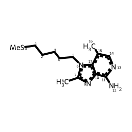 CSCCCCCn1c(C)nc2c(N)ncc(C)c21